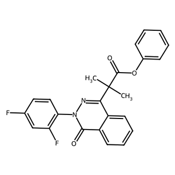 CC(C)(C(=O)Oc1ccccc1)c1nn(-c2ccc(F)cc2F)c(=O)c2ccccc12